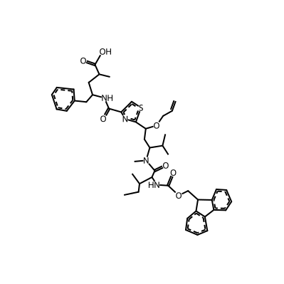 C=CCOC(CC(C(C)C)N(C)C(=O)C(NC(=O)OCC1c2ccccc2-c2ccccc21)C(C)CC)c1nc(C(=O)NC(Cc2ccccc2)CC(C)C(=O)O)cs1